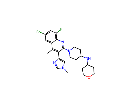 Cc1c(-c2cn(C)cn2)c(N2CCC(NC3CCOCC3)CC2)nc2c(F)cc(Br)cc12